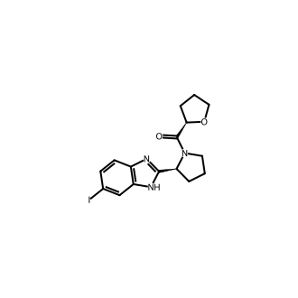 O=C([C@H]1CCCO1)N1CCC[C@H]1c1nc2ccc(I)cc2[nH]1